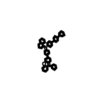 c1ccc(-c2ccc(-c3ccc(N(c4ccc(-c5ccc6c(c5)Oc5ccccc5N6c5ccccc5)cc4)c4cccc5ccccc45)cc3)cc2)cc1